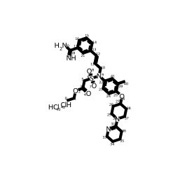 CCOC(=O)CS(=O)(=O)N(C/C=C/c1cccc(C(=N)N)c1)c1ccc(OC2CCN(C3=NCCCC3)CC2)c(C)c1.Cl.Cl